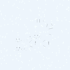 COc1cc(Cc2cccc(CC3=CCc4ccc(C)cc43)c2)cc(OC)c1OC